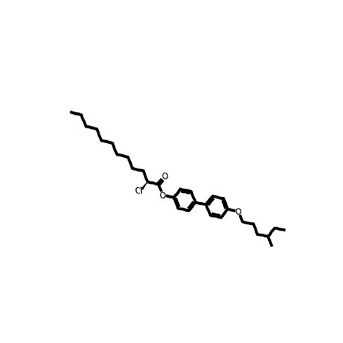 CCCCCCCCCC[C@H](Cl)C(=O)Oc1ccc(-c2ccc(OCCCC(C)CC)cc2)cc1